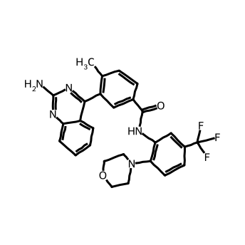 Cc1ccc(C(=O)Nc2cc(C(F)(F)F)ccc2N2CCOCC2)cc1-c1nc(N)nc2ccccc12